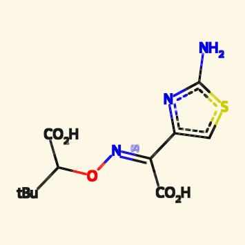 CC(C)(C)C(O/N=C(\C(=O)O)c1csc(N)n1)C(=O)O